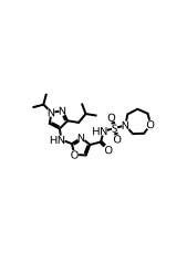 CC(C)Cc1nn(C(C)C)cc1Nc1nc(C(=O)NS(=O)(=O)N2CCCOCC2)co1